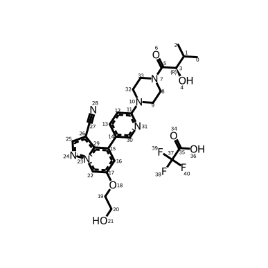 CC(C)[C@@H](O)C(=O)N1CCN(c2ccc(-c3cc(OCCO)cn4ncc(C#N)c34)cn2)CC1.O=C(O)C(F)(F)F